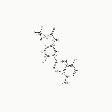 C=C(Nc1c(F)ccc(N)c1F)c1cc(NC(=C)C2CC2(C)C)ccc1F